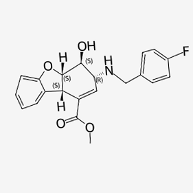 COC(=O)C1=C[C@@H](NCc2ccc(F)cc2)[C@H](O)[C@H]2Oc3ccccc3[C@@H]12